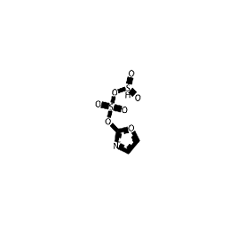 O=[SH](=O)OS(=O)(=O)Oc1ncco1